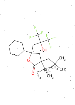 CC(C)(C)CC1(C(C)(C)C)CC(CC(O)(C(F)(F)F)C(F)(F)F)(C2CCCCC2)OC1=O